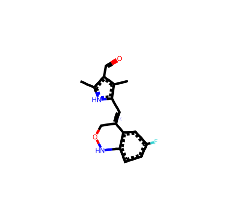 Cc1[nH]c(/C=C2\CONc3ccc(F)cc32)c(C)c1C=O